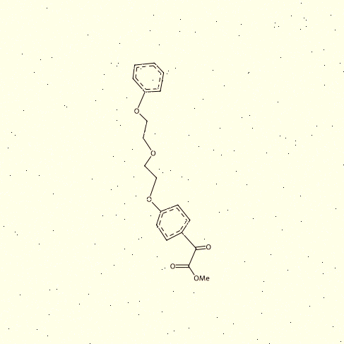 COC(=O)C(=O)c1ccc(OCCOCCOc2ccccc2)cc1